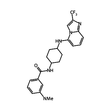 CNc1cccc(C(=O)NC2CCC(Nc3cccc4nc(C(F)(F)F)cn34)CC2)c1